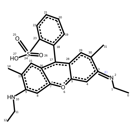 CC/N=c1\cc2oc3cc(NCC)c(C)cc3c(-c3ccccc3S(=O)(=O)O)c-2cc1C